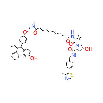 CC/C(=C(/c1ccc(O)cc1)c1ccc(OCCN(C)C(=O)CCCCCCCCCC(=O)N[C@H](C(=O)N2C[C@H](O)C[C@H]2C(=O)NCc2ccc(-c3scnc3C)cc2)C(C)(C)C)cc1)c1ccccc1